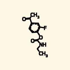 CCNC(=O)Oc1ccc(C(C)=O)cc1F